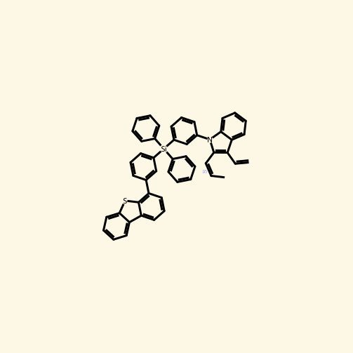 C=Cc1c(/C=C\C)n(-c2cccc([Si](c3ccccc3)(c3ccccc3)c3cccc(-c4cccc5c4sc4ccccc45)c3)c2)c2ccccc12